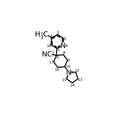 Cc1ccnc(C2(C#N)CCC(N3CCCC3)CC2)c1